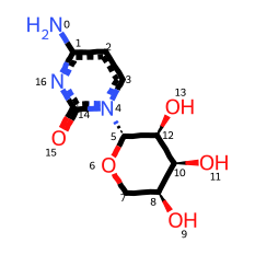 Nc1ccn([C@H]2OC[C@H](O)[C@H](O)[C@@H]2O)c(=O)n1